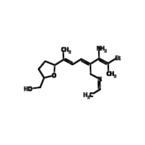 C/C=N\CC(=C\C=C(/C)C1CCC(CO)O1)/C(N)=C(\C)CC